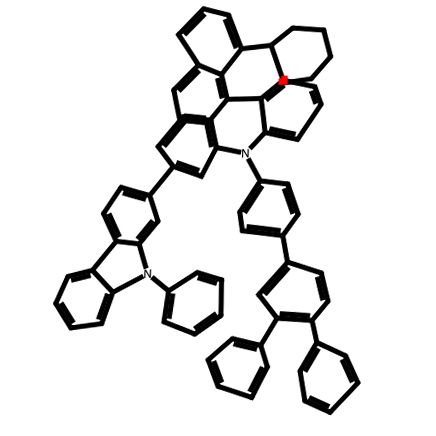 c1ccc(-c2ccc(-c3ccc(N(c4cccc(-c5ccc6c7ccccc7n(-c7ccccc7)c6c5)c4)c4ccccc4-c4cccc5cccc(C6CCCCC6)c45)cc3)cc2-c2ccccc2)cc1